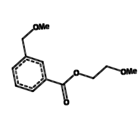 COCCOC(=O)c1cccc(COC)c1